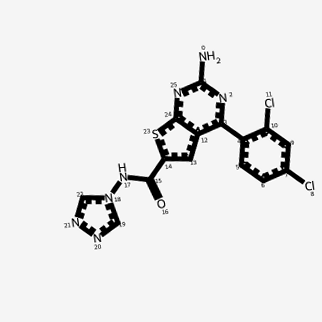 Nc1nc(-c2ccc(Cl)cc2Cl)c2cc(C(=O)Nn3cnnc3)sc2n1